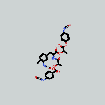 Cc1ccc(CC(NC(=O)C(C)OC(=O)c2ccc(N=C=O)cc2)C(=O)OC(C)C(=O)Oc2ccc(N=C=O)cc2)cc1N=C=O